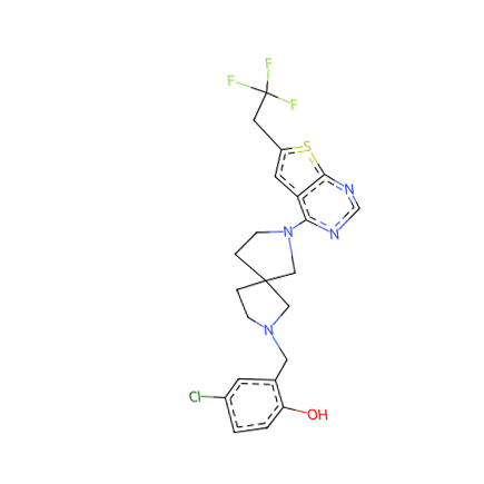 Oc1ccc(Cl)cc1CN1CCC2(CCN(c3ncnc4sc(CC(F)(F)F)cc34)C2)C1